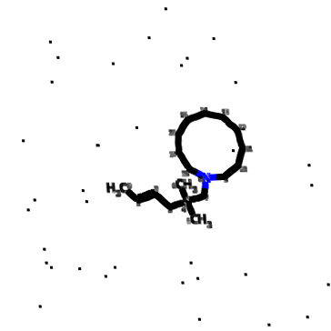 C/C=C/C[Si](C)(C)CN1CCCCCCCCCC1